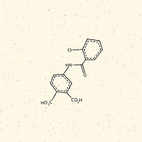 O=C(Nc1ccc(C(=O)O)c(C(=O)O)c1)c1ccccc1Cl